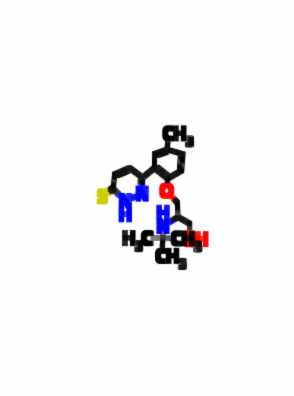 Cc1ccc(OCC(CO)NC(C)(C)C)c(-c2ccc(=S)[nH]n2)c1